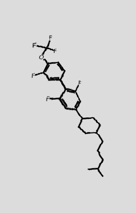 CC(C)CCCC1CCC(c2cc(F)c(-c3ccc(OC(F)(F)F)c(F)c3)c(F)c2)CC1